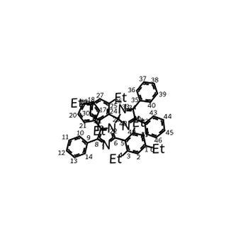 CCc1cc(CC)c(-c2nc(-c3ccccc3)c(-c3ccccc3)n2C2(c3c(CC)cc(CC)cc3CC)N=C(c3ccccc3)C(c3ccccc3)=N2)c(CC)c1